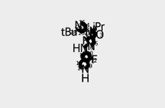 CC(C)n1c(=O)c2cnc(Nc3cc(F)c4c(c3)CCNC4)nc2n1-c1ccnc(C(C)(C)C)c1